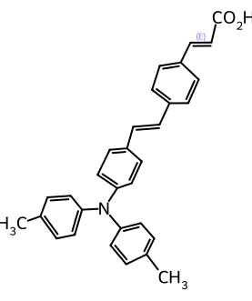 Cc1ccc(N(c2ccc(C)cc2)c2ccc(C=Cc3ccc(/C=C/C(=O)O)cc3)cc2)cc1